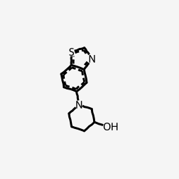 OC1CCCN(c2ccc3scnc3c2)C1